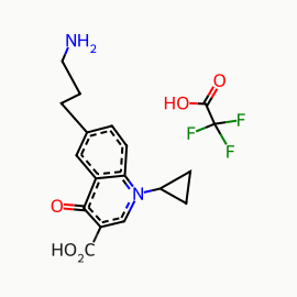 NCCCc1ccc2c(c1)c(=O)c(C(=O)O)cn2C1CC1.O=C(O)C(F)(F)F